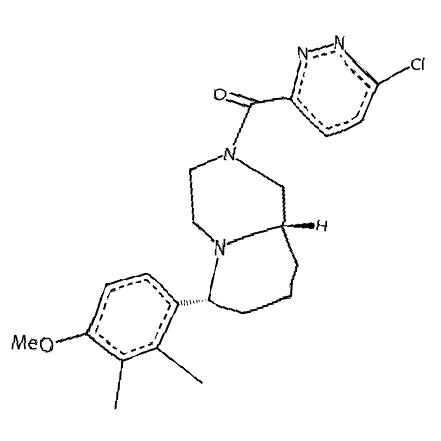 COc1ccc([C@H]2CCC[C@H]3CN(C(=O)c4ccc(Cl)nn4)CCN32)c(C)c1C